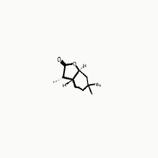 CCCCC1(C)CC[C@H]2[C@H](C1)OC(=O)[C@H]2C